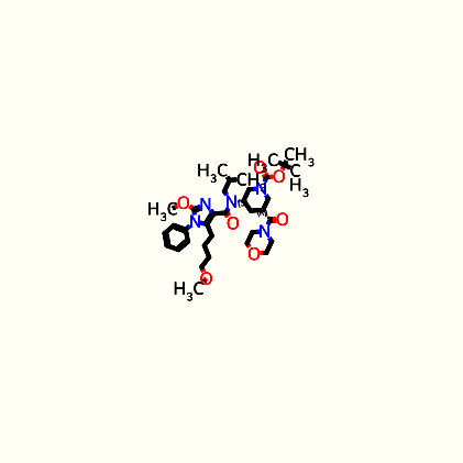 COCCCCc1c(C(=O)N(CC(C)C)[C@H]2C[C@@H](C(=O)N3CCOCC3)CN(C(=O)OC(C)(C)C)C2)nc(OC)n1-c1ccccc1